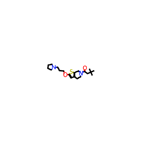 CC(C)(C)CC(=O)N1CCc2cc(OCCCN3CCCC3)sc2C1